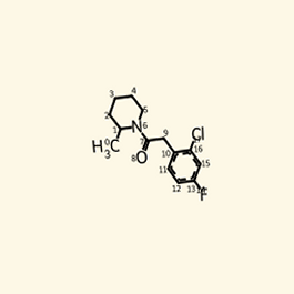 CC1CCCCN1C(=O)Cc1ccc(F)cc1Cl